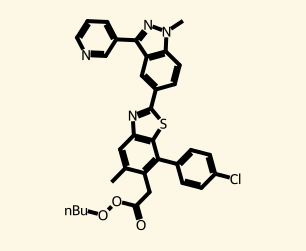 CCCCOOC(=O)Cc1c(C)cc2nc(-c3ccc4c(c3)c(-c3cccnc3)nn4C)sc2c1-c1ccc(Cl)cc1